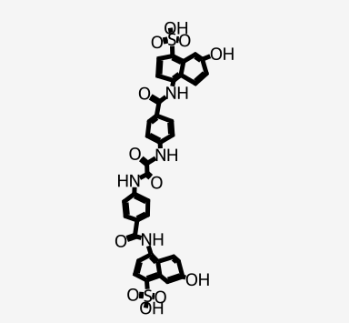 O=C(Nc1ccc(C(=O)Nc2ccc(S(=O)(=O)O)c3cc(O)ccc23)cc1)C(=O)Nc1ccc(C(=O)Nc2ccc(S(=O)(=O)O)c3cc(O)ccc23)cc1